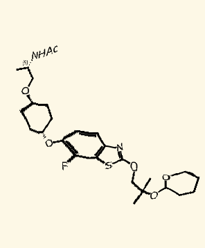 CC(=O)N[C@@H](C)CO[C@H]1CC[C@H](Oc2ccc3nc(OCC(C)(C)OC4CCCCO4)sc3c2F)CC1